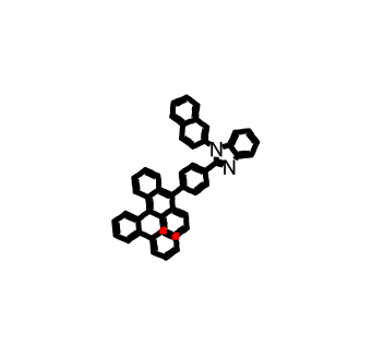 c1ccc(-c2ccccc2-c2c3ccccc3c(-c3ccc(-c4nc5ccccc5n4-c4ccc5ccccc5c4)cc3)c3ccccc23)cc1